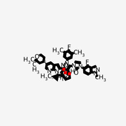 Cc1cc(-n2nc3c(c2-n2ccn(-c4ccc5c(cnn5C)c4F)c2=O)[C@@H]2CC[C@H](C3)N2C(=O)c2cc3cc([C@H]4CCOC(C)(C)C4)cnc3n2[C@@]2(c3ncon3)C[C@@H]2C)cc(C)c1F